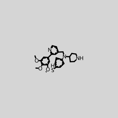 COc1cc(-c2cc(CN(c3ccc(S)cc3)C3CCNCC3)ccn2)cc(OC)c1OC